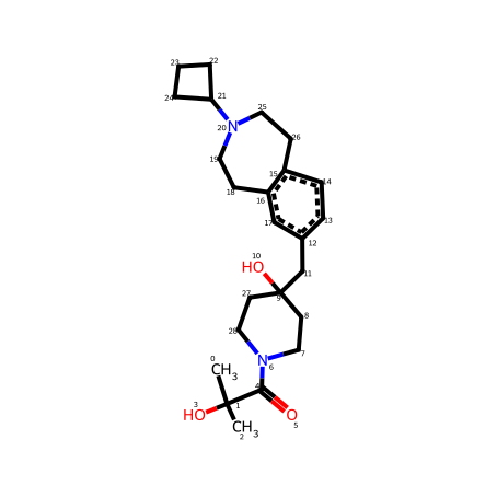 CC(C)(O)C(=O)N1CCC(O)(Cc2ccc3c(c2)CCN(C2CCC2)CC3)CC1